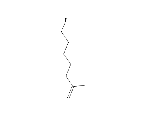 C=C(C)CCCCCF